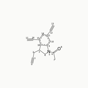 C#CCC1CN(C(C)=O)c2cc(C#C)cc(C#C)c21